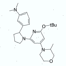 CC1COCCN1c1cc(OC(C)(C)C)nc(N2CCCC2c2cccc(N(C)C)c2)c1